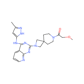 COCC(=O)N1CCC2(CC1)CN(c1nc(Nc3cc(C)n[nH]3)c3cccnc3n1)C2